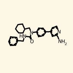 Nc1cc(-c2ccc(N(CC3CCCCC3)C(=O)NCc3ccccc3)cc2)ccn1